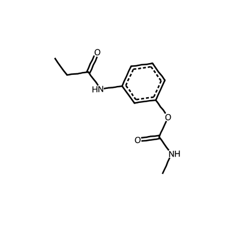 CCC(=O)Nc1cccc(OC(=O)NC)c1